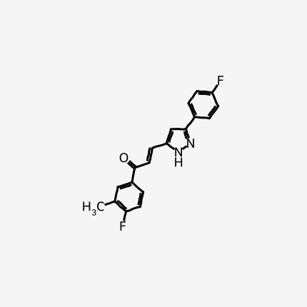 Cc1cc(C(=O)/C=C/c2cc(-c3ccc(F)cc3)n[nH]2)ccc1F